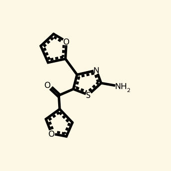 Nc1nc(-c2ccco2)c(C(=O)c2ccoc2)s1